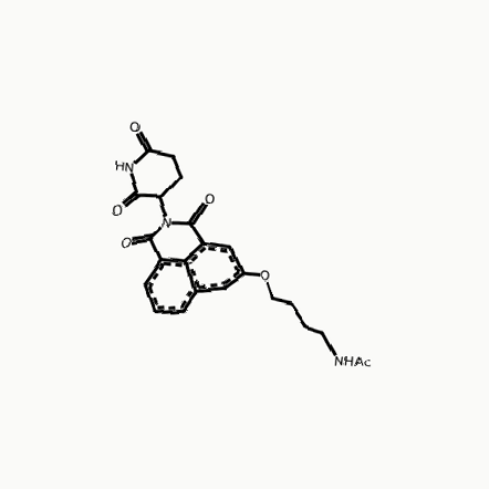 CC(=O)NCCCCOc1cc2c3c(cccc3c1)C(=O)N(C1CCC(=O)NC1=O)C2=O